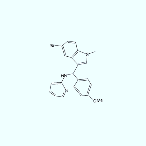 COc1ccc(C(Nc2ccccn2)c2cn(C)c3ccc(Br)cc23)cc1